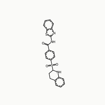 O=C(Nc1nc2ccccc2s1)c1ccc(S(=O)(=O)C2CCc3ccccc3N2)cc1